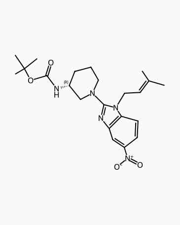 CC(C)=CCn1c(N2CCC[C@@H](NC(=O)OC(C)(C)C)C2)nc2cc([N+](=O)[O-])ccc21